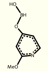 COc1cc(OBO)ccn1